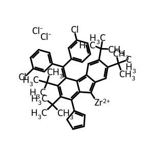 CC(C)(C)c1cc2c(cc1C(C)(C)C)=c1c(c(C3=CC=CC3)c(C(C)(C)C)c(C(C)(C)C)c1=C(c1cccc(Cl)c1)c1cccc(Cl)c1)[C]=2[Zr+2].[Cl-].[Cl-]